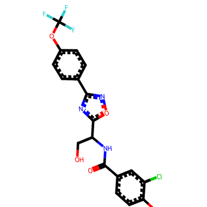 O=C(NC(CO)c1nc(-c2ccc(OC(F)(F)F)cc2)no1)c1ccc(O)c(Cl)c1